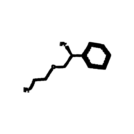 CC(C)CCOC[C@H](c1ccccc1)C(C)C